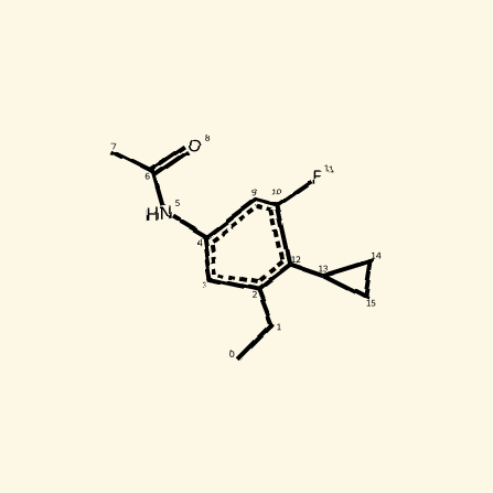 CCc1cc(NC(C)=O)cc(F)c1C1CC1